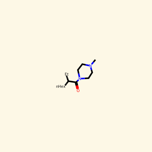 CCCCCCC(CC)C(=O)N1CCN(C)CC1